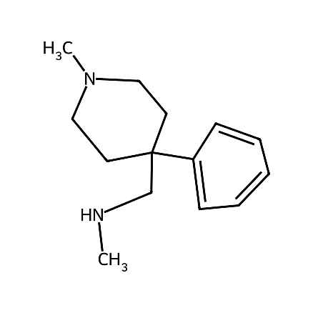 CNCC1(c2ccccc2)CCN(C)CC1